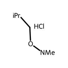 CNOCC(C)C.Cl